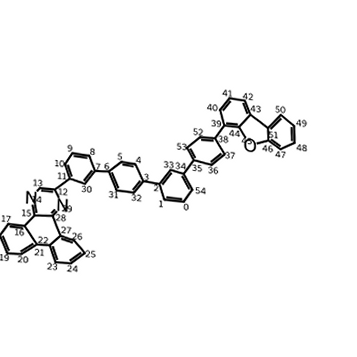 c1cc(-c2ccc(-c3cccc(-c4cnc5c6ccccc6c6ccccc6c5n4)c3)cc2)cc(-c2ccc(-c3cccc4c3oc3ccccc34)cc2)c1